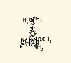 CCOc1nc(N)c2nc(-c3cncc(F)c3)n(Cc3cccc(OCCCN(C)C)c3)c2n1